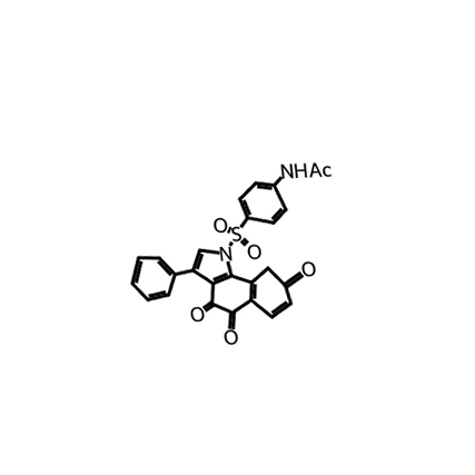 CC(=O)Nc1ccc(S(=O)(=O)n2cc(-c3ccccc3)c3c2C2=C(C=CC(=O)C2)C(=O)C3=O)cc1